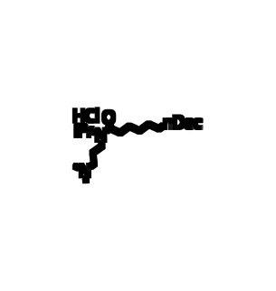 CCCCCCCCCCCCCCCC(=O)N(CCCN(C)C)C(C)C.Cl